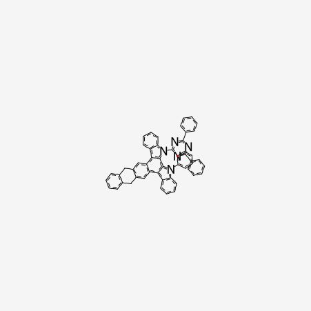 c1ccc(-c2nc(-c3ccccc3)nc(-n3c4ccccc4c4c5cc6c(cc5c5c7ccccc7n(-c7ccccc7)c5c43)Cc3ccccc3C6)n2)cc1